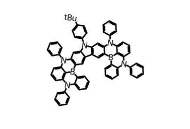 CC(C)(C)c1ccc(-n2c3cc4c(cc3c3cc5c(cc32)N(c2ccccc2)c2cccc3c2B5c2ccccc2N3c2ccccc2)B2c3ccccc3N(c3ccccc3)c3cccc(c32)N4c2ccccc2)cc1